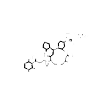 COC(=O)Nc1ccc2c(c1)NC(=O)C(C)CCCC(N(C)CCC(=O)c1c(Br)ccc(Cl)c1F)c1cc-2c2ccccc2n1